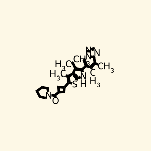 Cc1c(-c2[nH]c3sc(C4CC(C(=O)N5CCCCC5)C4)c(C)c3c2C(C)C)cn2ncnc2c1C